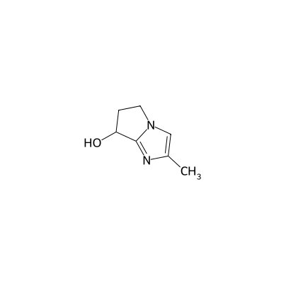 Cc1cn2c(n1)C(O)CC2